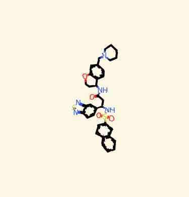 O=C(CC(NS(=O)(=O)c1ccc2ccccc2c1)c1ccc2nsnc2c1)NC1CCOc2cc(CN3CCCCC3)ccc21